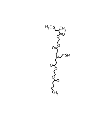 CSCCC(=O)OCCOC(=O)CCN(CCS)CCC(=O)OCCOC(=O)C(C)CSC